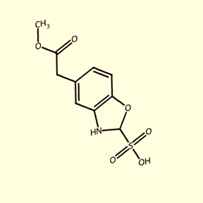 COC(=O)Cc1ccc2c(c1)NC(S(=O)(=O)O)O2